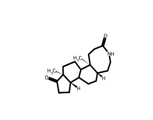 C[C@]12CCC3C(CC[C@H]4CCNC(=O)CC[C@]34C)[C@@H]1CCC2=O